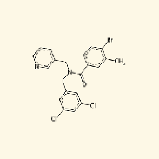 Cc1cc(C(=O)N(Cc2cccnc2)Cc2cc(Cl)cc(Cl)c2)ccc1Br